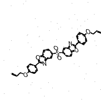 C=CCOc1ccc(-c2nc3cc(S(=O)(=O)c4ccc5oc(-c6ccc(OCC=C)cc6)nc5c4)ccc3o2)cc1